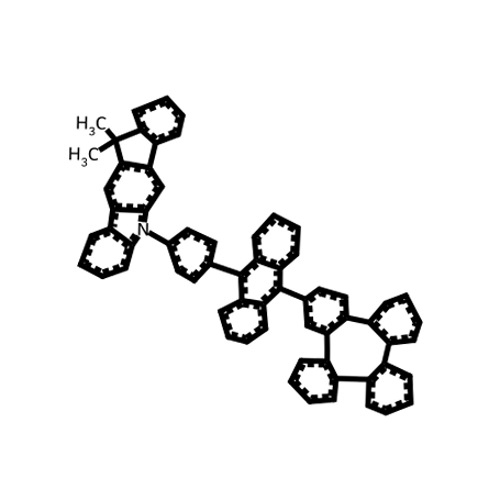 CC1(C)c2ccccc2-c2cc3c(cc21)c1ccccc1n3-c1ccc(-c2c3ccccc3c(-c3ccc4c(c3)-c3ccccc3-c3ccccc3-c3ccccc3-4)c3ccccc23)cc1